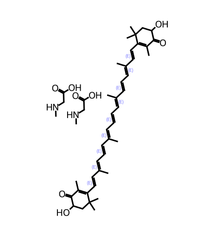 CC1=C(/C=C/C(C)=C/C=C/C(C)=C/C=C/C=C(C)/C=C/C=C(C)/C=C/C2=C(C)C(=O)C(O)CC2(C)C)C(C)(C)CC(O)C1=O.CNCC(=O)O.CNCC(=O)O